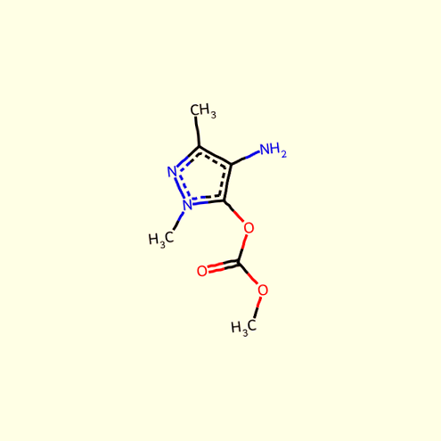 COC(=O)Oc1c(N)c(C)nn1C